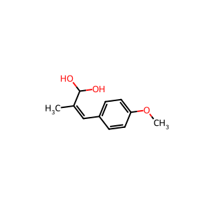 COc1ccc(C=C(C)C(O)O)cc1